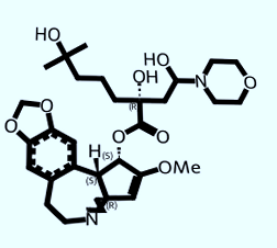 COC1=C[C@]23CCCN2CCc2cc4c(cc2[C@@H]3[C@@H]1OC(=O)[C@@](O)(CCCC(C)(C)O)CC(O)N1CCOCC1)OCO4